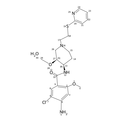 COc1cc(N)c(Cl)cc1C(=O)N[C@@H]1CCN(CCSc2ccccn2)C[C@@H]1OC.O